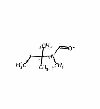 CCC(C)(C)N(C)C=O